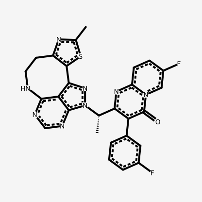 Cc1nc2c(s1)-c1nn([C@@H](C)c3nc4ccc(F)cn4c(=O)c3-c3cccc(F)c3)c3ncnc(c13)NCC2